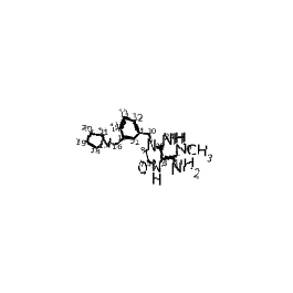 CN/C(N)=C1/NC(=O)CN(Cc2cccc(CN3CCCC3)c2)C1=N